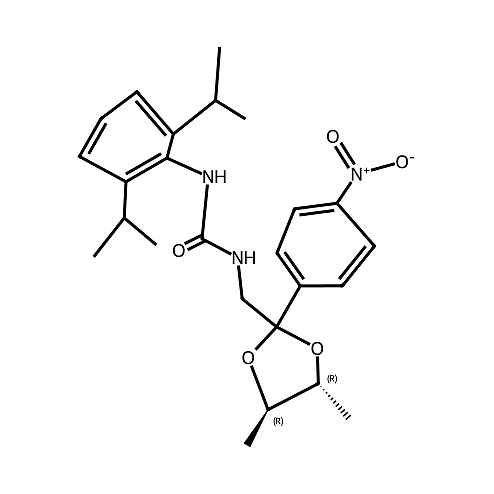 CC(C)c1cccc(C(C)C)c1NC(=O)NCC1(c2ccc([N+](=O)[O-])cc2)O[C@H](C)[C@@H](C)O1